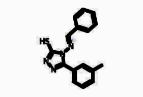 Cc1cccc(-c2nnc(S)n2/N=C/c2ccccc2)c1